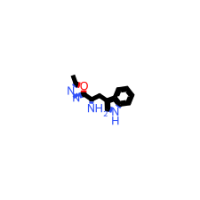 Cc1nnc(C(N)Cc2c[nH]c3ccccc23)o1